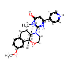 COc1ccc2c(c1)[C@H]1OCCN(c3nc(-c4ccncc4)cc(=O)n3C)[C@H]1CC2